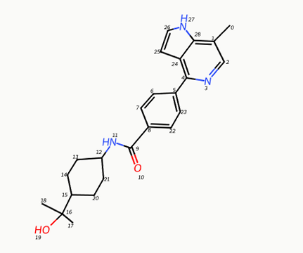 Cc1cnc(-c2ccc(C(=O)NC3CCC(C(C)(C)O)CC3)cc2)c2cc[nH]c12